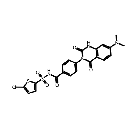 CN(C)c1ccc2c(=O)n(-c3ccc(C(=O)NS(=O)(=O)c4ccc(Cl)s4)cc3)c(=O)[nH]c2c1